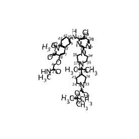 CNC(=O)COc1cc2cc(Nc3nc(N4CCN(C(C)(C)C5CCN(C(=O)OC(C)(C)C)CC5)CC4)ncc3Cl)ccc2n(C)c1=O